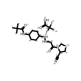 CC(C)(C)C(=O)NC1CCC(NNCC(=O)N2CSCC2C#N)CC1.O=C(O)C(F)(F)F